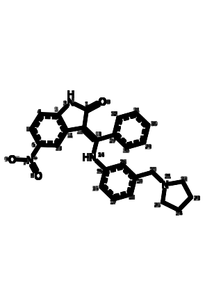 O=C1Nc2ccc([N+](=O)[O-])cc2C1=C(Nc1cccc(CN2CCCC2)c1)c1ccccc1